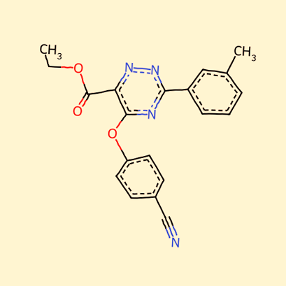 CCOC(=O)c1nnc(-c2cccc(C)c2)nc1Oc1ccc(C#N)cc1